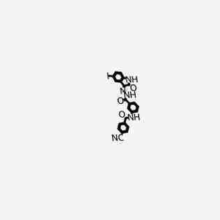 N#Cc1ccc(C(=O)Nc2cccc(C(=O)N/N=C3\C(=O)Nc4ccc(I)cc43)c2)cc1